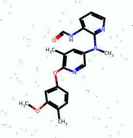 COc1cc(Oc2ncc(N(C)c3ncccc3NC=O)cc2C)ccc1C